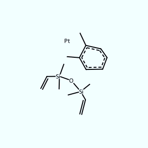 C=C[Si](C)(C)O[Si](C)(C)C=C.Cc1ccccc1C.[Pt]